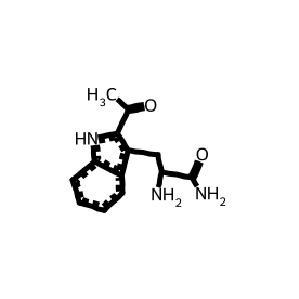 CC(=O)c1[nH]c2ccccc2c1CC(N)C(N)=O